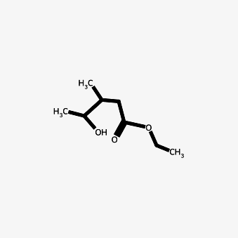 CCOC(=O)CC(C)C(C)O